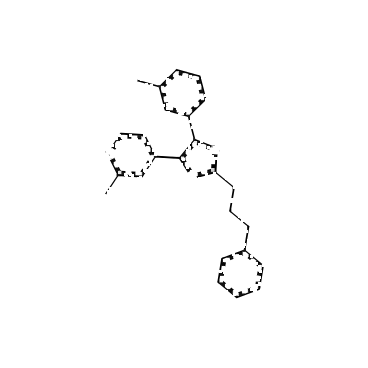 Cc1cccc(-c2nc(CCCc3ccccc3)sc2-c2ccnc(C)c2)c1